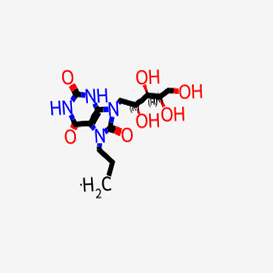 [CH2]CCn1c(=O)n(C[C@@H](O)[C@@H](O)[C@H](O)CO)c2[nH]c(=O)[nH]c(=O)c21